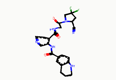 N#CC1CC(F)(F)CN1C(=O)CNC(=O)c1ccncc1NC(=O)c1ccc2c(c1)CCCN2